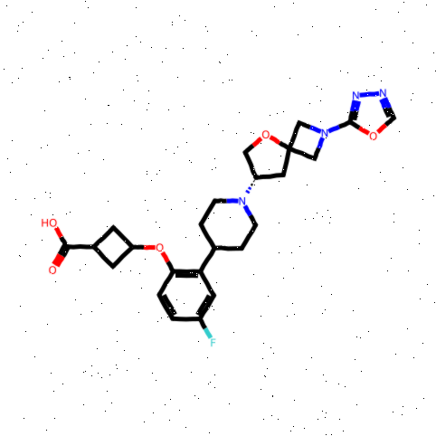 O=C(O)C1CC(Oc2ccc(F)cc2C2CCN([C@@H]3COC4(C3)CN(c3nnco3)C4)CC2)C1